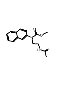 COC(=O)N(CCNC(C)=O)c1ccc2ccccc2c1